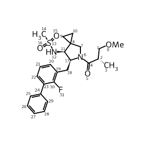 COC[C@H](C)C(=O)N1CC2(CC2)[C@H](NS(C)(=O)=O)[C@@H]1Cc1cccc(-c2ccccc2)c1F